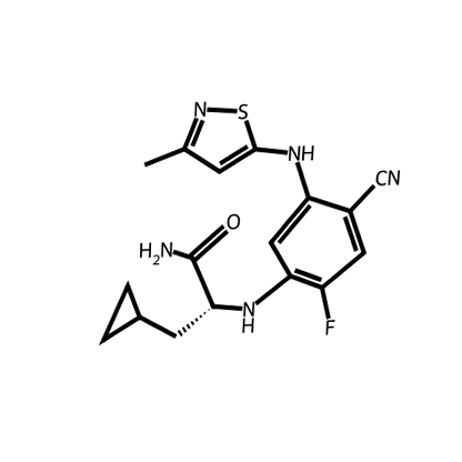 Cc1cc(Nc2cc(N[C@H](CC3CC3)C(N)=O)c(F)cc2C#N)sn1